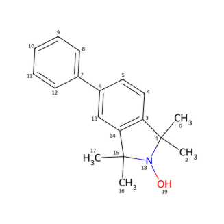 CC1(C)c2ccc(-c3ccccc3)cc2C(C)(C)N1O